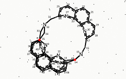 c1cc2ccc3ccc4nc3c2nc1CN1Cc2ccc3ccc5ccc(nc5c3n2)CN(C4)Cc2ccc3ccc4ccc(nc4c3n2)C1